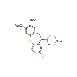 COc1cc2c(cc1OC)Sc1ccc(Cl)cc1C(N1CCN(C)CC1)C2